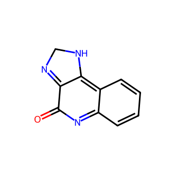 O=C1N=c2ccccc2=C2NCN=C12